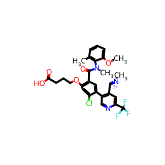 C/N=C/c1cc(C(F)(F)F)ncc1-c1cc(C(=O)N(C)c2c(C)cccc2OC)c(OCCCC(=O)O)cc1Cl